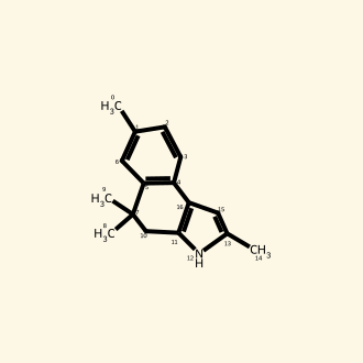 Cc1ccc2c(c1)C(C)(C)Cc1[nH]c(C)cc1-2